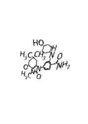 Cn1c2c(n(-c3ccc(C(N)=O)c(NC4CCC(O)CC4)c3)c1=O)CC(C)(C)CC2=O